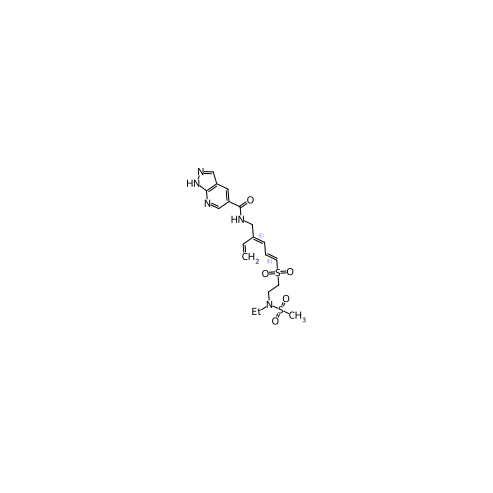 C=C/C(=C\C=C\S(=O)(=O)CCN(CC)S(C)(=O)=O)CNC(=O)c1cnc2[nH]ncc2c1